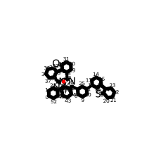 c1ccc(-c2nc(-c3cccc(-c4cccc5c4sc4ccccc45)c3)nc(-c3cccc4oc5cccc(-c6nc7ccccc7s6)c5c34)n2)cc1